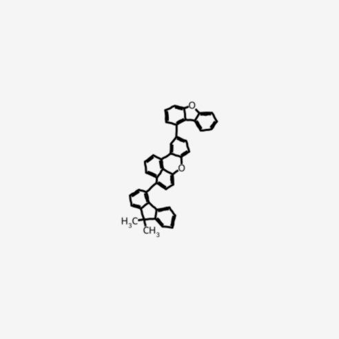 CC1(C)c2ccccc2-c2c(-c3ccc4c5c(cccc35)-c3cc(-c5cccc6oc7ccccc7c56)ccc3O4)cccc21